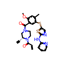 C#C[C@@H]1CN(C(=O)c2cc(Sc3cnc(Nc4ccccn4)s3)c(C)cc2OC)CCN1C(=O)C=C